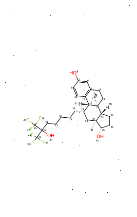 C=C[C@@]12CCc3cc(O)ccc3[C@H]1[C@@H](CCCCCC(O)(C(F)(F)F)C(F)(F)F)C[C@@]1(C)[C@H]2CC[C@@H]1O